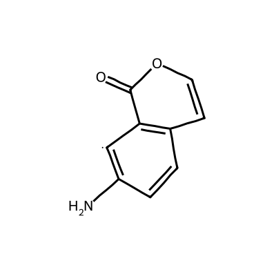 Nc1[c]c2c(=O)occc2cc1